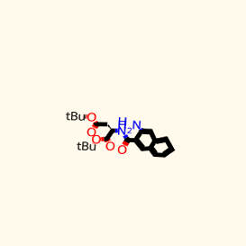 CC(C)(C)OC(=O)C[C@H](NC(=O)c1cc2ccccc2cc1N)C(=O)OC(C)(C)C